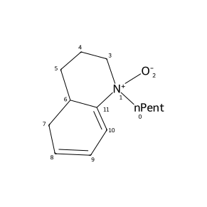 CCCCC[N+]1([O-])CCCC2CC=CC=C21